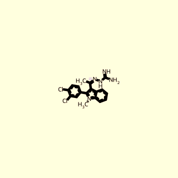 C/C(=N/NC(=N)N)c1c(-c2ccc(Cl)c(Cl)c2)n(C)c2ccccc12